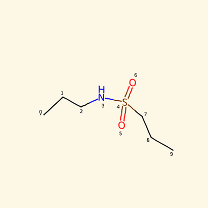 [CH2]CCNS(=O)(=O)CCC